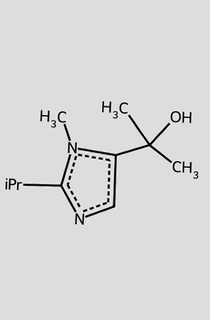 CC(C)c1ncc(C(C)(C)O)n1C